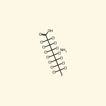 N.O=C(O)C(Cl)(Cl)C(Cl)(Cl)C(Cl)(Cl)C(Cl)(Cl)C(Cl)(Cl)C(Cl)(Cl)C(F)(Cl)Cl